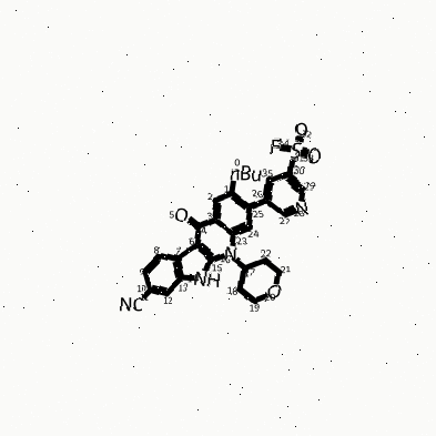 CCCCc1cc2c(=O)c3c4ccc(C#N)cc4[nH]c3n(C3CCOCC3)c2cc1-c1cncc(S(=O)(=O)F)c1